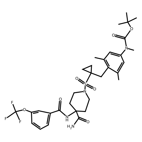 Cc1cc(N(C)C(=O)OC(C)(C)C)cc(C)c1CC1(S(=O)(=O)N2CCC(NC(=O)c3cccc(OC(F)(F)F)c3)(C(N)=O)CC2)CC1